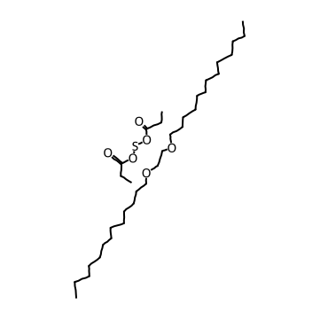 CCC(=O)OSOC(=O)CC.CCCCCCCCCCCCCOCCOCCCCCCCCCCCCC